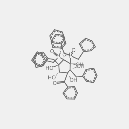 O=C(c1ccccc1)[C@@]1(O)[C@H](O)[C@](O)(Cc2ccccc2)[C@@](O)(P(=O)(Cc2ccccc2)Cc2ccccc2)[C@](O)(P(=O)(Cc2ccccc2)Cc2ccccc2)[C@@]1(O)Cc1ccccc1